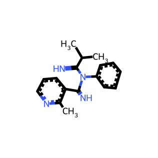 Cc1ncccc1C(=N)N(C(=N)C(C)C)c1ccccc1